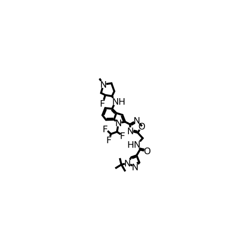 CN1CCC(Nc2cccc3c2cc(-c2noc(CNC(=O)c4cnn(C(C)(C)C)c4)n2)n3C(F)C(F)F)C(F)C1